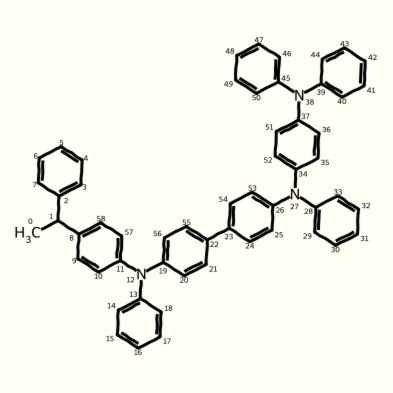 CC(c1ccccc1)c1ccc(N(c2ccccc2)c2ccc(-c3ccc(N(c4ccccc4)c4ccc(N(c5ccccc5)c5ccccc5)cc4)cc3)cc2)cc1